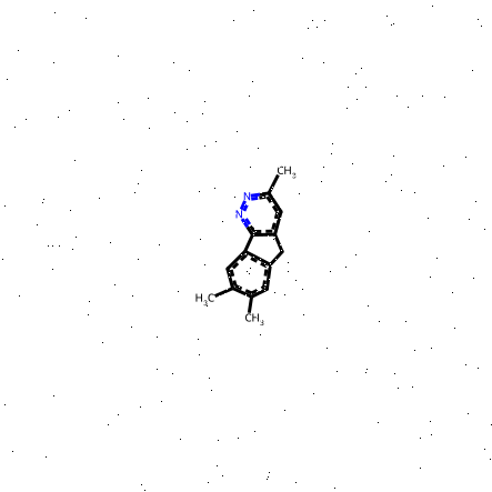 Cc1cc2c(nn1)-c1cc(C)c(C)cc1C2